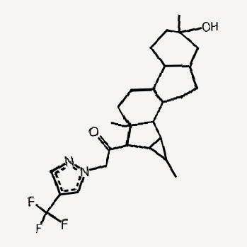 CC1C2C1C1C3CCC4CC(C)(O)CCC4C3CCC1(C)C2C(=O)Cn1cc(C(F)(F)F)cn1